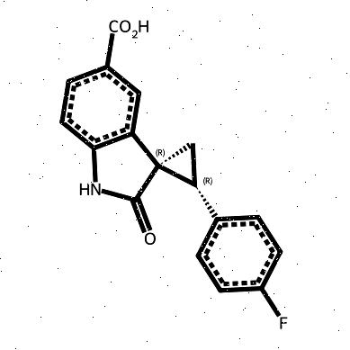 O=C(O)c1ccc2c(c1)[C@]1(C[C@@H]1c1ccc(F)cc1)C(=O)N2